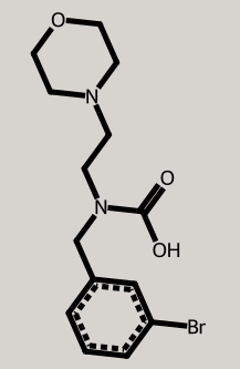 O=C(O)N(CCN1CCOCC1)Cc1cccc(Br)c1